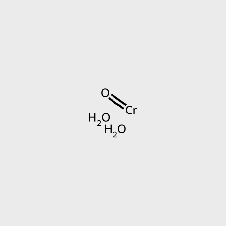 O.O.[O]=[Cr]